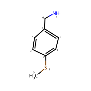 CSc1ccc(C[NH])cc1